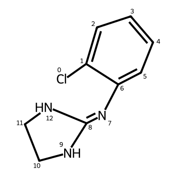 Clc1ccccc1N=C1NCCN1